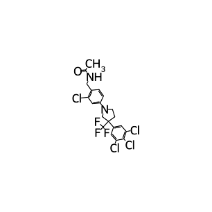 CC(=O)NCc1ccc(N2CCC(c3cc(Cl)c(Cl)c(Cl)c3)(C(F)(F)F)C2)cc1Cl